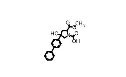 COC(=O)C1CC(O)(c2ccc(-c3ccccc3)cc2)CN1C(=O)O